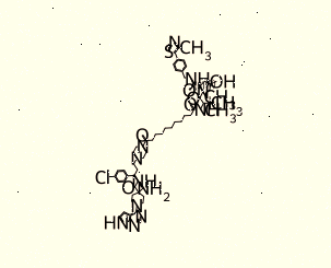 Cc1ncsc1-c1ccc(CNC(=O)[C@@H]2C[C@@H](O)CN2C(=O)C(NC(=O)CCCCCCCCCC(=O)N2CCN(CCC(NC(=O)C3(N)CCN(c4ncnc5[nH]ccc45)CC3)c3ccc(Cl)cc3)CC2)C(C)(C)C)cc1